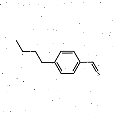 CCCCc1ccc(C=S)cc1